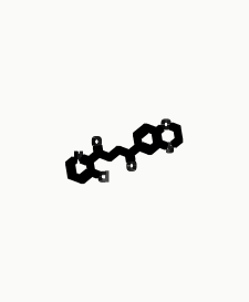 O=C(CCC(=O)c1ncccc1Cl)c1ccc2c(c1)SCCO2